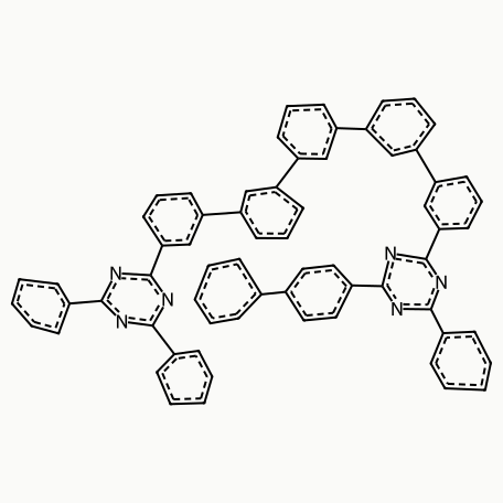 c1ccc(-c2ccc(-c3nc(-c4ccccc4)nc(-c4cccc(-c5cccc(-c6cccc(-c7cccc(-c8cccc(-c9nc(-c%10ccccc%10)nc(-c%10ccccc%10)n9)c8)c7)c6)c5)c4)n3)cc2)cc1